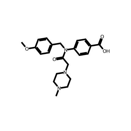 COc1ccc(CN(C(=O)CN2CCN(C)CC2)c2ccc(C(=O)O)cc2)cc1